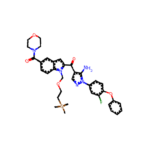 CS(C)(C)CCOCn1c(C(=O)c2cnn(-c3ccc(Oc4ccccc4)c(F)c3)c2N)cc2cc(C(=O)N3CCOCC3)ccc21